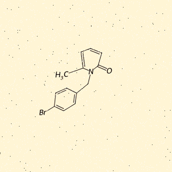 Cc1cccc(=O)n1Cc1ccc(Br)cc1